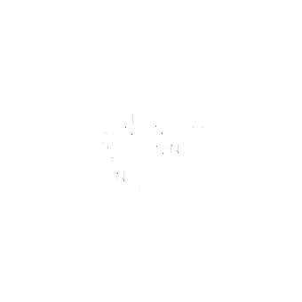 CCOC[C@@H]1CCCN1C(=O)c1cc(N)c2nc(-c3ccco3)nn2c1